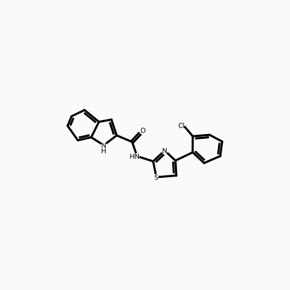 O=C(Nc1nc(-c2ccccc2Cl)cs1)c1cc2ccccc2[nH]1